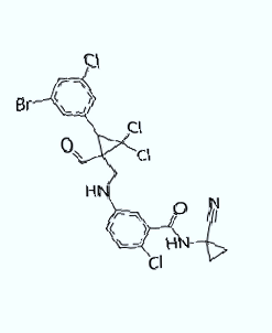 N#CC1(NC(=O)c2cc(NCC3(C=O)C(c4cc(Cl)cc(Br)c4)C3(Cl)Cl)ccc2Cl)CC1